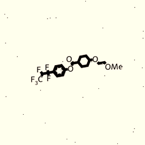 COCCOC1CCC(C(=O)Oc2ccc(C(F)(F)C(F)C(F)(F)F)cc2)CC1